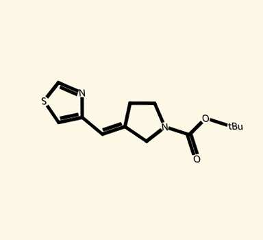 CC(C)(C)OC(=O)N1CCC(=Cc2cscn2)C1